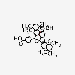 CC1(C)CCC(C)(C)c2cc(C(OC(c3ccc(C(=O)O)cc3)c3ccc4c(c3)C(C)(C)CCC4(C)C)c3ccc(C(=O)O)cc3)ccc21